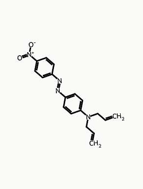 C=CCN(CC=C)c1ccc(N=Nc2ccc([N+](=O)[O-])cc2)cc1